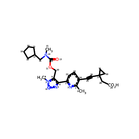 Cc1nc(-c2nnn(C)c2COC(=O)N(C)CC2CCCC2)ccc1C#CC1(CC(=O)O)CC1